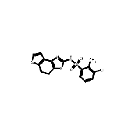 Cc1c(Cl)cccc1S(=O)(=O)Nc1nc2c(s1)CCc1sccc1-2